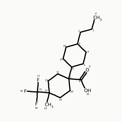 CCCC1CCC(C2(C(=O)O)CCC(C)(C(F)(F)F)CC2)CC1